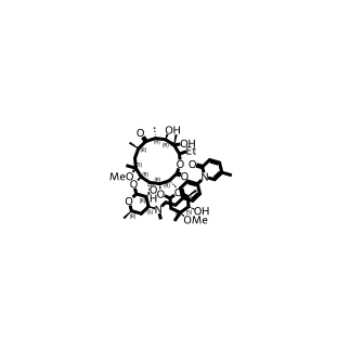 CCC1OC(=O)[C@H](C)[C@H](OC2C[C@@](C)(OC)[C@@H](O)[C@H](C)O2)[C@H](C)[C@@H](OC2O[C@H](C)C[C@H](N(C)CCc3ccc(-n4cc(C)ccc4=O)cc3)[C@H]2O)[C@@](C)(OC)C[C@@H](C)C(=O)[C@H](C)[C@@H](O)[C@]1(C)O